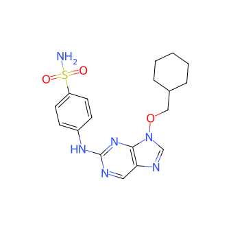 NS(=O)(=O)c1ccc(Nc2ncc3ncn(OCC4CCCCC4)c3n2)cc1